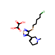 CN1CCC=C(c2nsnc2SCCCCCCl)C1.O=C(O)C(=O)O